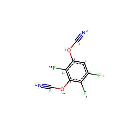 N#COc1cc(F)c(F)c(OC#N)c1F